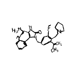 C=C(C)c1cc(Cn2c(=O)[nH]c3c(N)nc4ccccc4c32)cc(F)c1CN1CCCC1